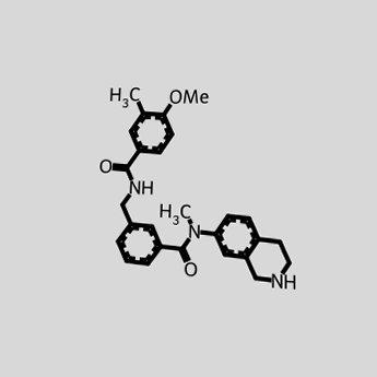 COc1ccc(C(=O)NCc2cccc(C(=O)N(C)c3ccc4c(c3)CNCC4)c2)cc1C